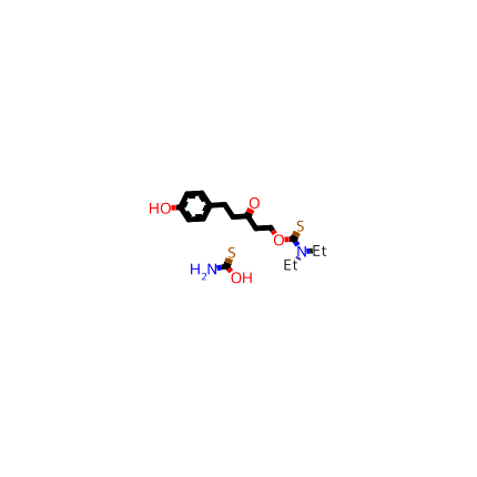 CCN(CC)C(=S)OCCC(=O)CCc1ccc(O)cc1.NC(O)=S